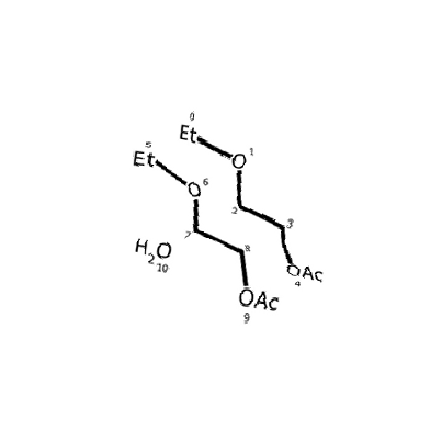 CCOCCOC(C)=O.CCOCCOC(C)=O.O